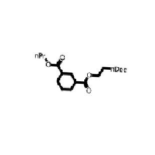 CCCCCCCCCCCCOC(=O)C1CCCC(C(=O)OCCC)C1